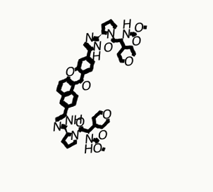 COC(=O)N[C@H](C(=O)N1CCC[C@H]1c1ncc(-c2ccc3c(ccc4oc5cc(-c6cnc([C@@H]7CCCN7C(=O)[C@@H](NC(=O)OC)C7CCOCC7)[nH]6)ccc5c(=O)c43)c2)[nH]1)C1CCOCC1